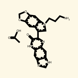 CC(=O)O.NCCCn1cc(-c2nc3cc4[nH]cnc4cc3[nH]c2=O)c2cc3c(cc21)OCO3